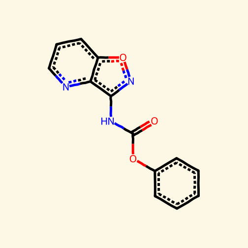 O=C(Nc1noc2cccnc12)Oc1ccccc1